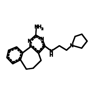 Nc1nc(NCCN2CCCC2)c2c(n1)-c1ccccc1CCC2